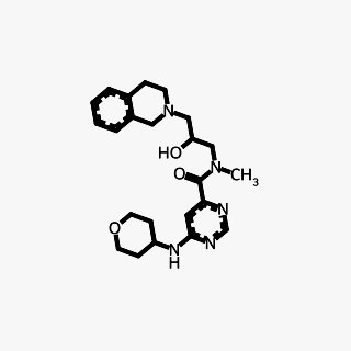 CN(CC(O)CN1CCc2ccccc2C1)C(=O)c1cc(NC2CCOCC2)ncn1